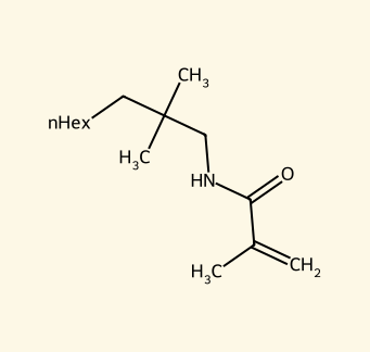 C=C(C)C(=O)NCC(C)(C)CCCCCCC